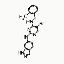 FC(F)(F)c1ccccc1CNc1nc(Nc2ccc3cn[nH]c3c2)ncc1Br